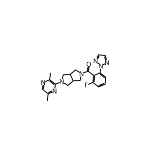 Cc1cnc(C)c(N2CC3CN(C(=O)c4c(F)cccc4-n4nccn4)CC3C2)n1